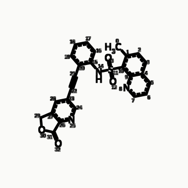 Cc1ccc2cccnc2c1S(=O)(=O)Nc1ccccc1C#Cc1cnc2c(c1)COC2=O